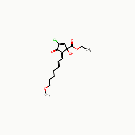 CCOC(=O)C1(O)C=C(Cl)C(=O)C1=CC=CCCCCOC